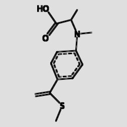 C=C(SC)c1ccc(N(C)C(C)C(=O)O)cc1